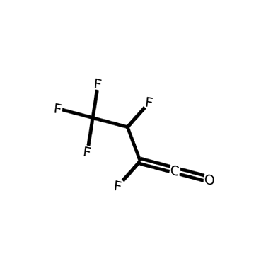 O=C=C(F)C(F)C(F)(F)F